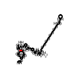 CC(C)[C@H](NC(=O)CCOCCOCCOCCOCCOCCOCCOCCOCCNC(=O)OC[C@@H]1[C@@H]2CCC#CCC[C@@H]21)C(=O)N[C@@H](C)C(=O)Nc1ccc(COC(=O)N(C)Cc2ccccc2C(=O)Nc2nc3c(ncn3[C@@H]3O[C@@H]4CO[PH](=O)O[C@H]5C[C@H](Oc6ccncn6)CC5CO[PH](=O)O[C@@H]3[C@@H]4O)c(=O)[nH]2)cc1